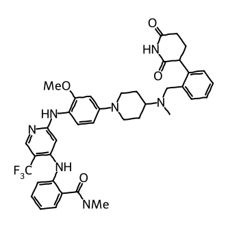 CNC(=O)c1ccccc1Nc1cc(Nc2ccc(N3CCC(N(C)Cc4ccccc4C4CCC(=O)NC4=O)CC3)cc2OC)ncc1C(F)(F)F